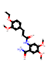 CCOc1ccc(C=CC(=O)Nc2cc(OC)c(OC)cc2C(N)=O)cc1OC